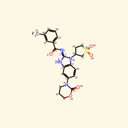 O=C(/N=c1\[nH]c2cc(N3CCCOC3=O)ccc2n1C1CCS(=O)(=O)C1)c1cccc(C(F)(F)F)c1